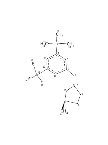 C[C@@H]1CCN(Cc2cc(C(C)(C)C)cc(C(F)(F)F)c2)C1